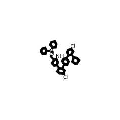 Nc1cc(-c2ccc(Cl)cc2-c2ccc(-c3ccc(Cl)cc3-c3ccccc3)cc2)ccc1C=NN(c1ccccc1)c1ccccc1